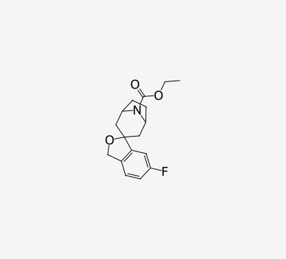 CCOC(=O)N1C2CCC1CC1(C2)OCc2ccc(F)cc21